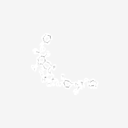 O=C(OCc1ccccc1)c1cn(C2CC2)c2c3c(c(F)cc2c1=O)N1C[C@@](O)(COc2ccc(N4C[C@@H](Cn5ccnn5)OC4=O)cc2F)C[C@@H]1CO3